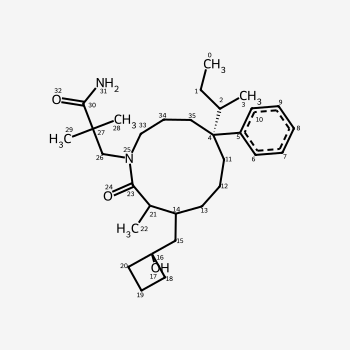 CCC(C)[C@]1(c2ccccc2)CCCC(CC2(O)CCC2)C(C)C(=O)N(CC(C)(C)C(N)=O)CCC1